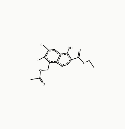 CCOC(=O)c1cnc2c(COC(C)=O)c(Cl)c(Cl)cc2c1O